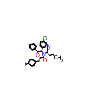 CCC[C@H](C#N)N1C(=O)[C@H](CC2=CCC(I)C=C2)O[C@@H](c2ccccc2)[C@H]1c1ccc(Cl)cc1